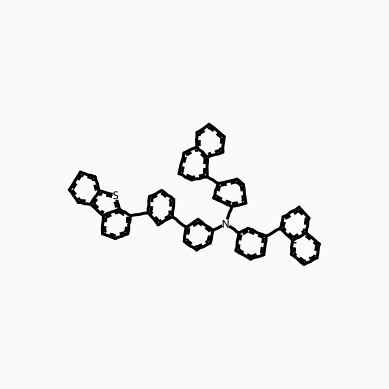 c1cc(-c2cccc(N(c3cccc(-c4cccc5ccccc45)c3)c3cccc(-c4cccc5ccccc45)c3)c2)cc(-c2cccc3c2sc2ccccc23)c1